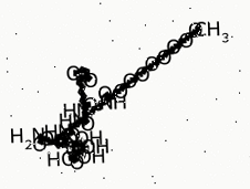 COCCOCCOCCOCCOCCOCCOCCOCCC(=O)NCCCC[C@H](NC(=O)CCCCCN1C(=O)C=CC1=O)C(=O)NCCC(=O)Nc1cc(COC(N)=O)ccc1O[C@@H]1O[C@H](C(=O)O)[C@@H](O)[C@H](O)[C@H]1O